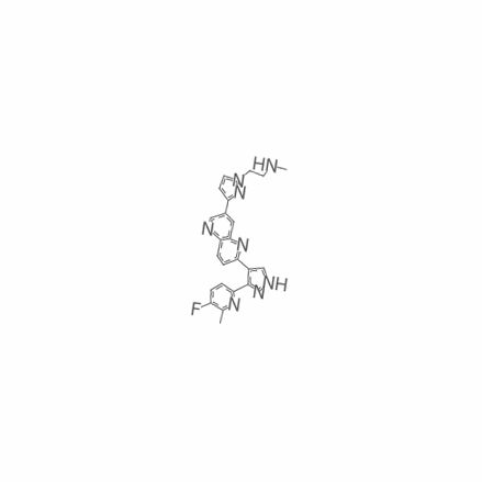 CNCCn1ccc(-c2cnc3ccc(-c4c[nH]nc4-c4ccc(F)c(C)n4)nc3c2)n1